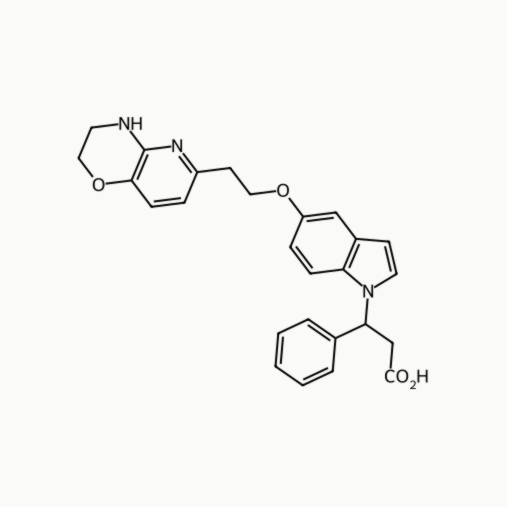 O=C(O)CC(c1ccccc1)n1ccc2cc(OCCc3ccc4c(n3)NCCO4)ccc21